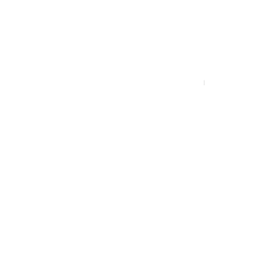 COC1(c2ccc(F)cc2)OC1CCCl